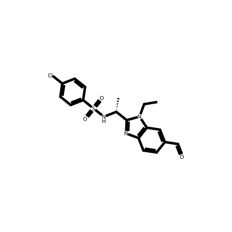 CCn1c([C@@H](C)NS(=O)(=O)c2ccc(Cl)cc2)nc2ccc(C=O)cc21